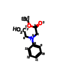 CC(C)(C)OC(=O)CN(CC(=O)O)c1ccccc1